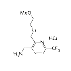 COCCOCc1nc(C(F)(F)F)ccc1CN.Cl